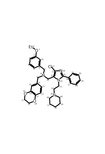 CCOc1cccc(CN(Cc2ccc3c(c2)OCCO3)Cc2c(Cl)nc(-c3ccccc3)n2CCN2CCCCC2)c1